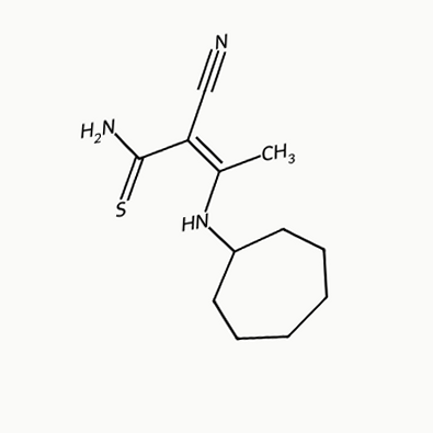 C/C(NC1CCCCCC1)=C(\C#N)C(N)=S